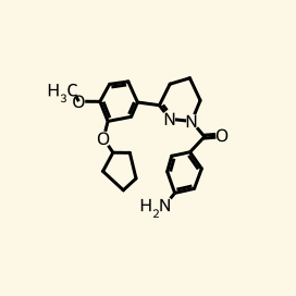 COc1ccc(C2=NN(C(=O)c3ccc(N)cc3)CCC2)cc1OC1CCCC1